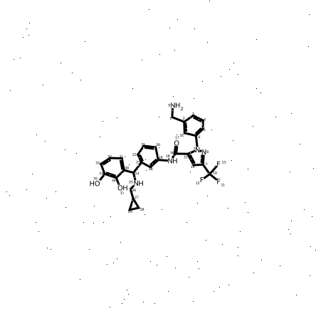 NCc1cccc(-n2nc(C(F)(F)F)cc2C(=O)Nc2cccc(C(NCC3CC3)c3cccc(O)c3O)c2)c1